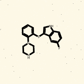 Fc1ccc2[nH]cc(Sc3ccccc3N3CCNCC3)c2c1